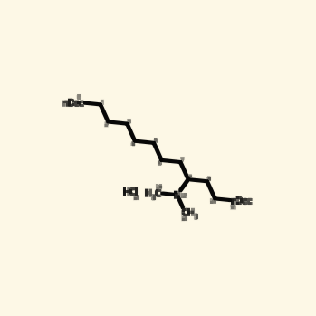 CCCCCCCCCCCCCCCCCC(CCCCCCCCCCCC)N(C)C.Cl